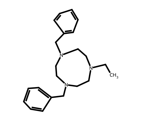 CCN1CCN(Cc2ccccc2)CCN(Cc2ccccc2)CC1